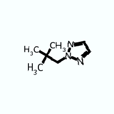 CC(C)(C)Cn1nccn1